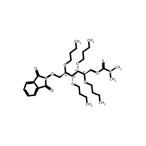 CCCCO[C@@H]([C@H](OCCCC)[C@@H](CON1C(=O)c2ccccc2C1=O)OCCCC)[C@@H](COC(=S)N(C)C)OCCCC